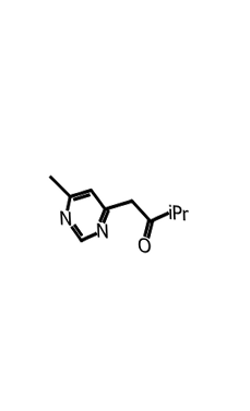 Cc1cc(CC(=O)C(C)C)ncn1